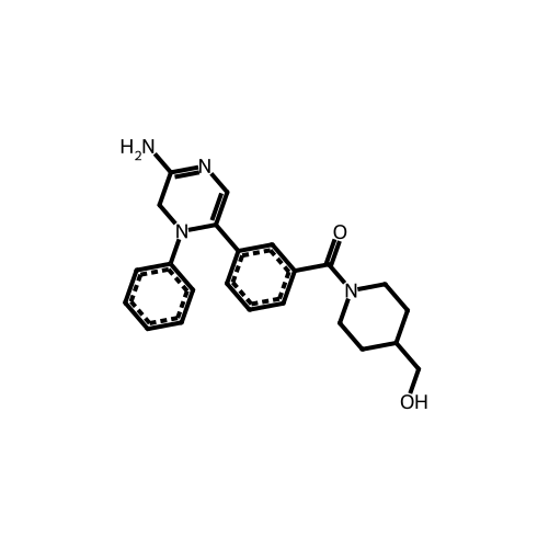 NC1=NC=C(c2cccc(C(=O)N3CCC(CO)CC3)c2)N(c2ccccc2)C1